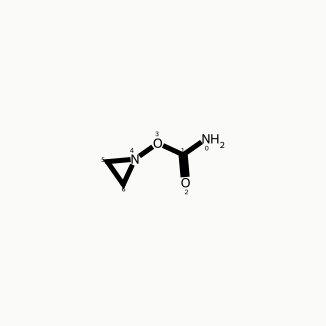 NC(=O)ON1CC1